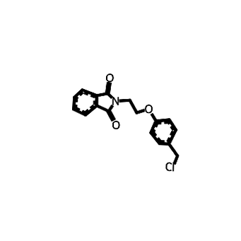 O=C1c2ccccc2C(=O)N1CCOc1ccc(CCl)cc1